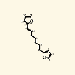 C(=Cc1ccco1)CCCC=Cc1ccco1